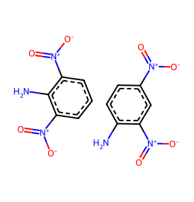 Nc1c([N+](=O)[O-])cccc1[N+](=O)[O-].Nc1ccc([N+](=O)[O-])cc1[N+](=O)[O-]